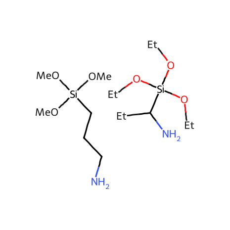 CCO[Si](OCC)(OCC)C(N)CC.CO[Si](CCCN)(OC)OC